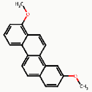 COc1ccc2ccc3c4cccc(OC)c4ccc3c2c1